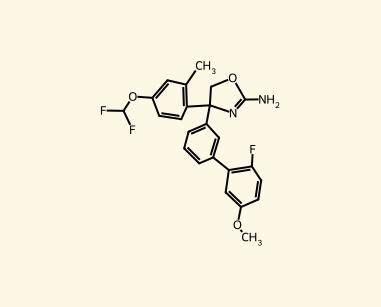 COc1ccc(F)c(-c2cccc(C3(c4ccc(OC(F)F)cc4C)COC(N)=N3)c2)c1